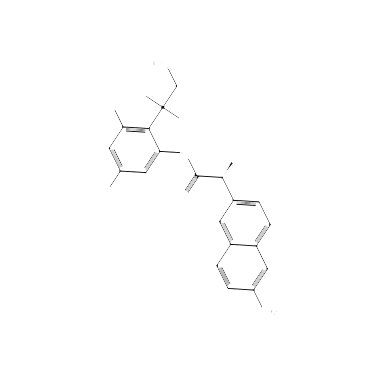 COc1ccc2cc([C@H](C)C(=O)Oc3cc(C)cc(C)c3C(C)(C)CC=O)ccc2c1